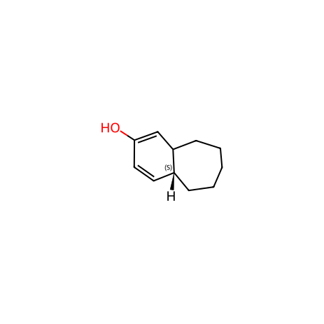 OC1=CC2CCCCC[C@@H]2C=C1